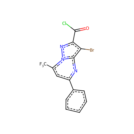 O=C(Cl)c1nn2c(C(F)(F)F)cc(-c3ccccc3)nc2c1Br